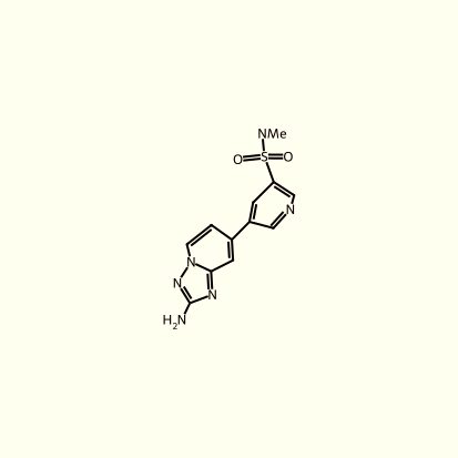 CNS(=O)(=O)c1cncc(-c2ccn3nc(N)nc3c2)c1